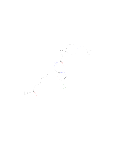 CCC(=O)CCCCC[C@H](NC(=O)[C@H]1CC12CCN(CC1CC1)CC2)c1ncc(Br)o1